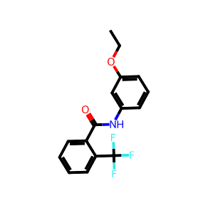 CCOc1cccc(NC(=O)c2ccccc2C(F)(F)F)c1